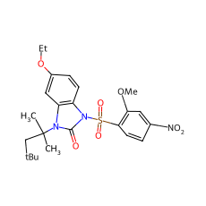 CCOc1ccc2c(c1)n(C(C)(C)CC(C)(C)C)c(=O)n2S(=O)(=O)c1ccc([N+](=O)[O-])cc1OC